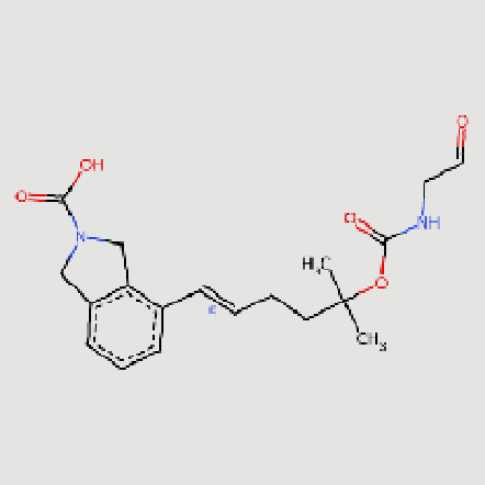 CC(C)(CC/C=C/c1cccc2c1CN(C(=O)O)C2)OC(=O)NCC=O